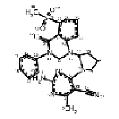 Cc1nc(N)nc(N2CCCC2N2CN(c3ccccc3)C(=O)c3c2cccc3S(C)(=O)=O)c1C#N